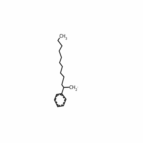 [CH2]C(CCCCCCCCCC)c1ccccc1